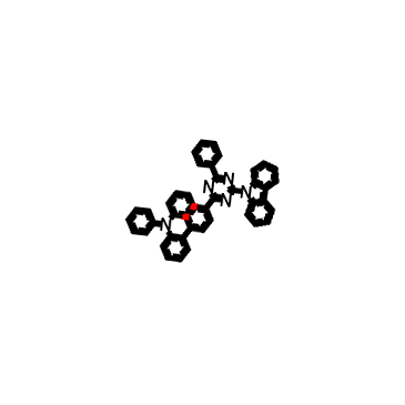 c1ccc(-c2nc(-c3ccc(-c4ccccc4N(c4ccccc4)c4ccccc4)cc3)nc(-n3c4ccccc4c4ccccc43)n2)cc1